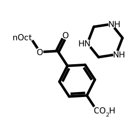 C1NCNCN1.CCCCCCCCOC(=O)c1ccc(C(=O)O)cc1